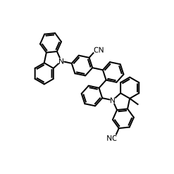 CC12C=CC=CC1N(c1ccccc1-c1ccccc1-c1ccc(-n3c4ccccc4c4ccccc43)cc1C#N)c1cc(C#N)ccc12